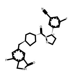 N#Cc1cc(F)cc([C@@H]2CCON2C(=O)[C@H]2CC[C@H](Cc3cc(F)c4c(c3)C(=O)NC4)CC2)c1